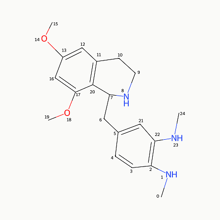 CNc1ccc(CC2NCCc3cc(OC)cc(OC)c32)cc1NC